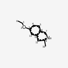 CCOc1ccc2cnc(C)cc2c1